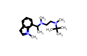 CC(c1cccc2ccn(C)c12)N(C)CCN(C)C(C)(C)C